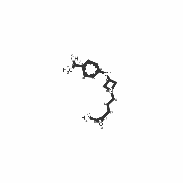 CC(C)c1ccc(OC2CN(CCCC3OC3N)C2)cc1